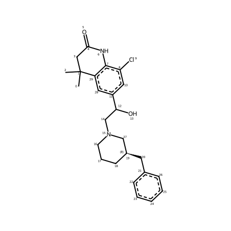 CC1(C)CC(=O)Nc2c(Cl)cc(C(O)CN3CCC[C@H](Cc4ccccc4)C3)cc21